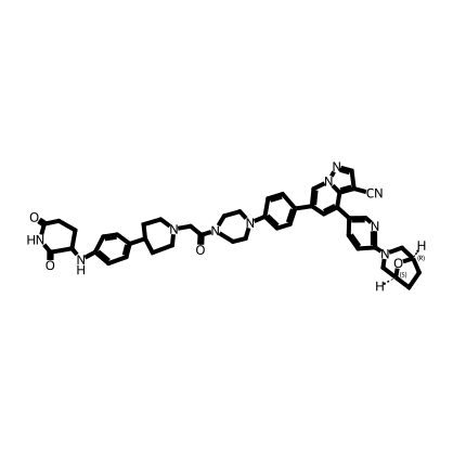 N#Cc1cnn2cc(-c3ccc(N4CCN(C(=O)CN5CCC(c6ccc(NC7CCC(=O)NC7=O)cc6)CC5)CC4)cc3)cc(-c3ccc(N4C[C@H]5CC[C@@H](C4)O5)nc3)c12